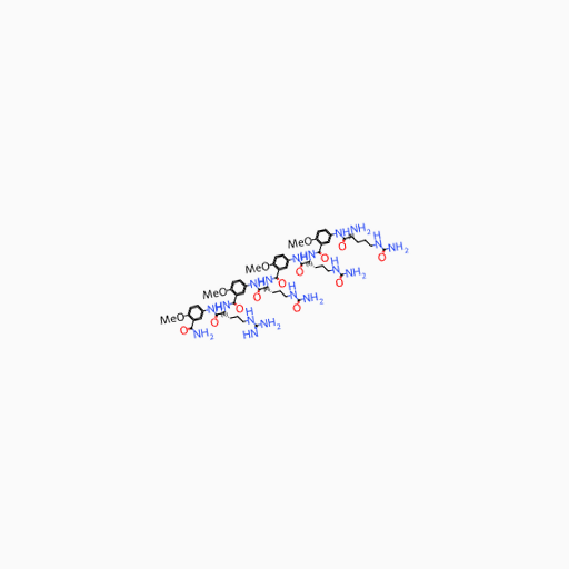 COc1ccc(NC(=O)[C@@H](CCCNC(=N)N)NC(=O)c2cc(NC(=O)[C@@H](CCCNC(N)=O)NC(=O)c3cc(NC(=O)[C@@H](CCCNC(N)=O)NC(=O)c4cc(NC(=O)[C@H](N)CCCNC(N)=O)ccc4OC)ccc3OC)ccc2OC)cc1C(N)=O